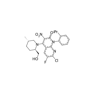 CC(C)c1ccccc1-n1c(=O)c([N+](=O)[O-])c(N2C[C@@H](C)CC[C@@H]2CO)c2cc(F)c(Cl)nc21